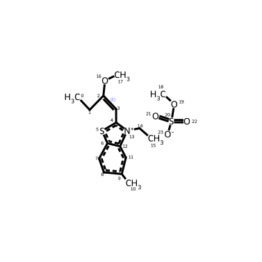 CC/C(=C\c1sc2ccc(C)cc2[n+]1CC)OC.COS(=O)(=O)[O-]